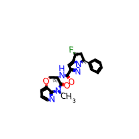 CN1C(=O)[C@@H](NC(=O)c2cc3n(n2)[C@H](c2ccccc2)C[C@@H]3F)COc2cccnc21